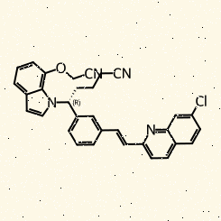 N#CCCC[C@H](c1cccc(C=Cc2ccc3ccc(Cl)cc3n2)c1)n1ccc2cccc(OCC#N)c21